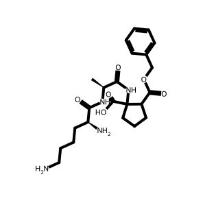 C[C@H](NC(=O)[C@@H](N)CCCCN)C(=O)NC1(C(=O)O)CCCC1C(=O)OCc1ccccc1